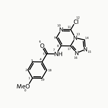 COc1ccc(C(=O)Nc2cnc(Cl)n3cnnc23)cc1